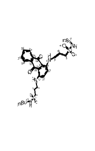 CCCCNS(=O)(=O)CCCNc1ccc(NCCCS(=O)(=O)NCCCC)c2c1C(=O)c1ccccc1C2=O